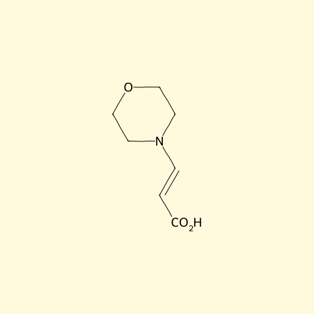 O=C(O)C=CN1CCOCC1